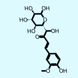 COc1cc(C=CC(=O)C(O)[C@H]2OC(O)[C@H](O)[C@@H](O)[C@@H]2O)ccc1O